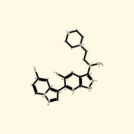 CN(CCN1CCOCC1)c1n[nH]c2nc(-c3cnn4ccc(F)cc34)c(F)cc12